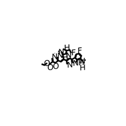 CCOC(=O)c1cn(C)c2ncc(-c3cnc4[nH]c5c(NC)cc(F)c(F)c5c4c3N3CC[C@H]4CN(C)C[C@H]43)cc2c1=O